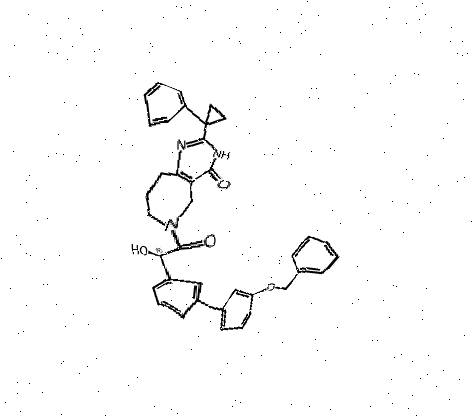 O=C([C@H](O)c1cccc(-c2cccc(OCc3ccccc3)c2)c1)N1CCCc2nc(C3(c4ccccc4)CC3)[nH]c(=O)c2C1